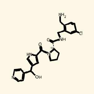 NCc1ccc(Cl)cc1CNC(=O)[C@@H]1CCCN1C(=O)c1cc(C(O)c2ccncc2)c[nH]1